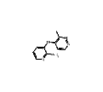 Cc1nnccc1Oc1cccnc1N